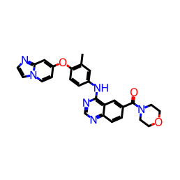 Cc1cc(Nc2ncnc3ccc(C(=O)N4CCOCC4)cc23)ccc1Oc1ccn2ccnc2c1